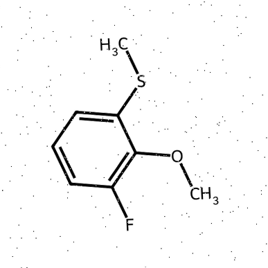 COc1c(F)cccc1SC